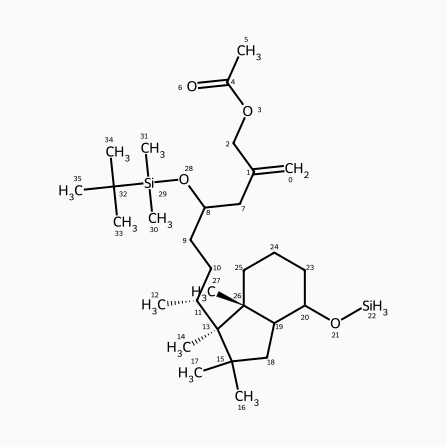 C=C(COC(C)=O)CC(CC[C@@H](C)[C@]1(C)C(C)(C)CC2C(O[SiH3])CCC[C@]21C)O[Si](C)(C)C(C)(C)C